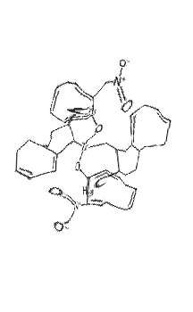 CC1CC2CC=CC=C2[CH]1[Zr]([O]c1ccccc1[N+](=O)[O-])([O]c1ccccc1[N+](=O)[O-])[CH]1C2=CC=CCC2CC1C